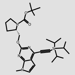 CC(C)[Si](C#Cc1nc(OC[C@@H]2CCCN2C(=O)OC(C)(C)C)nc2c1ccn2C)(C(C)C)C(C)C